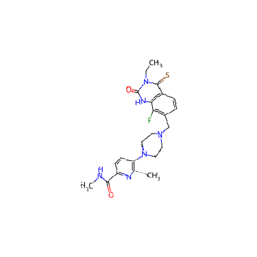 CCn1c(=O)[nH]c2c(F)c(CN3CCN(c4ccc(C(=O)NC)nc4C)CC3)ccc2c1=S